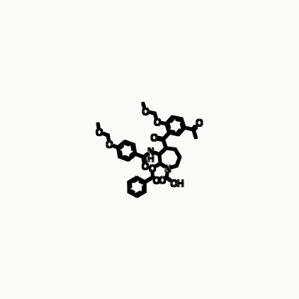 COCOc1ccc(C(=O)NC2C(C(=O)c3cc(C(C)=O)ccc3OCOC)CCCN(C(=O)O)C2OC(=O)c2ccccc2)cc1